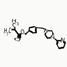 CC(C)C(=O)OCc1ccc(CN2CCN(c3ccccn3)CC2)cc1